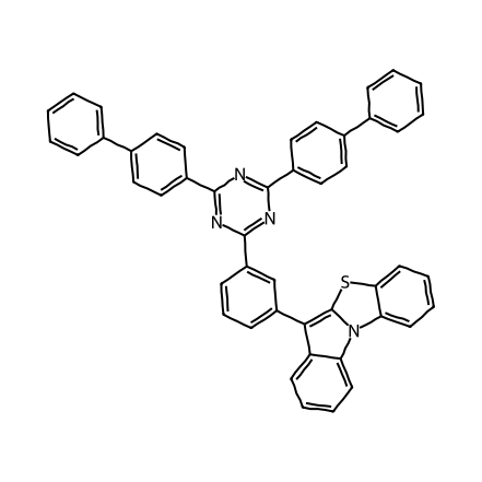 c1ccc(-c2ccc(-c3nc(-c4ccc(-c5ccccc5)cc4)nc(-c4cccc(-c5c6ccccc6n6c5sc5ccccc56)c4)n3)cc2)cc1